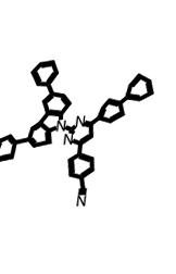 N#Cc1ccc(-c2cc(-c3ccc(-c4ccccc4)cc3)nc(-n3c4ccc(-c5ccccc5)cc4c4cc(-c5ccccc5)ccc43)n2)cc1